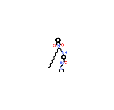 CCCCCCCCCCCC(CCNc1ccc(C(=O)NCCN(CC)CC)cc1)N1C(=O)c2ccccc2C1=O